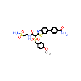 NC(=O)c1ccc(-c2ccc3nc(C(C(=O)NCCS(N)(=O)=O)S(=O)(=O)Cc4ccc(OC(F)(F)F)cc4)sc3c2)cc1